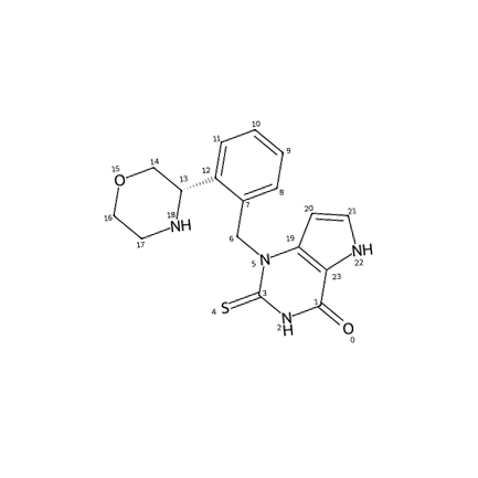 O=c1[nH]c(=S)n(Cc2ccccc2[C@H]2COCCN2)c2cc[nH]c12